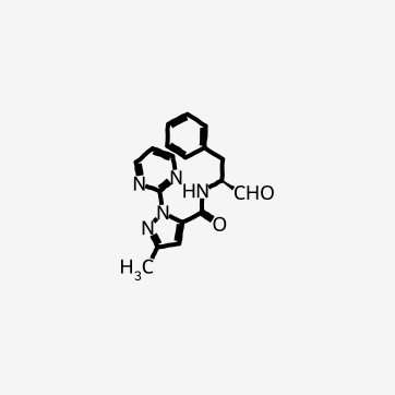 Cc1cc(C(=O)N[C@H](C=O)Cc2ccccc2)n(-c2ncccn2)n1